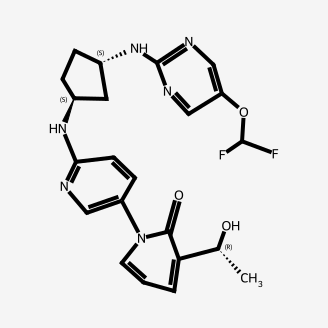 C[C@@H](O)c1cccn(-c2ccc(N[C@H]3CC[C@H](Nc4ncc(OC(F)F)cn4)C3)nc2)c1=O